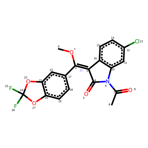 CO/C(=C1/C(=O)N(C(C)=O)c2cc(Cl)ccc21)c1ccc2c(c1)OC(F)(F)O2